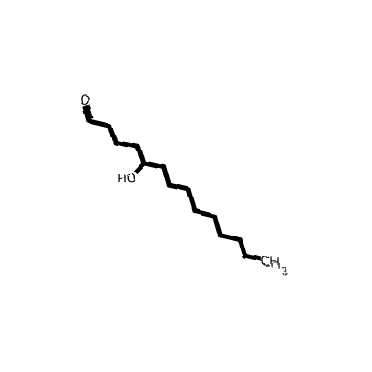 CCCCCCCCCC(O)CCCC=O